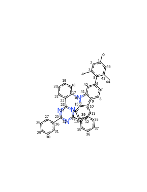 Cc1cc(C)c(-c2ccc3c4ccccc4n(-c4ccccc4-c4nc(-c5ccccc5)nc(-c5ccccc5)n4)c3c2)c(C)c1